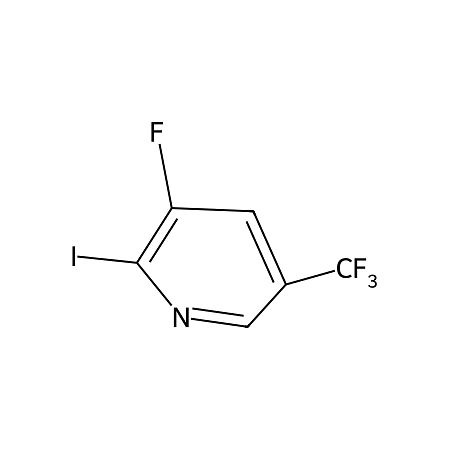 Fc1cc(C(F)(F)F)cnc1I